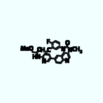 COCC(=O)Nc1ccc(-c2ccc3ncc4c(c3c2)n(-c2ccc(F)c(C)c2)c(=O)n4C)cn1